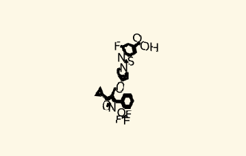 O=C(O)C1=Cc2sc(N3CC4CC3CC4OCc3c(-c4ccccc4OC(F)(F)F)noc3C3CC3)nc2C(F)C1